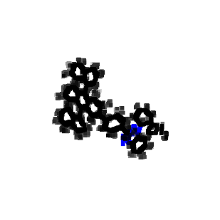 CC1C=CC=CC1n1c(-c2ccc(-c3ccc4c(-c5cccc6ccccc56)c5ccccc5c(-c5cccc6ccccc56)c4c3)cc2)nc2ccccc21